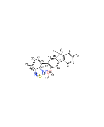 Cc1ccc2c(c1)C(C)(C)c1cc3c(cc1-2)[B-](C)(C)[n+]1snc2c(C)ccc-3c21